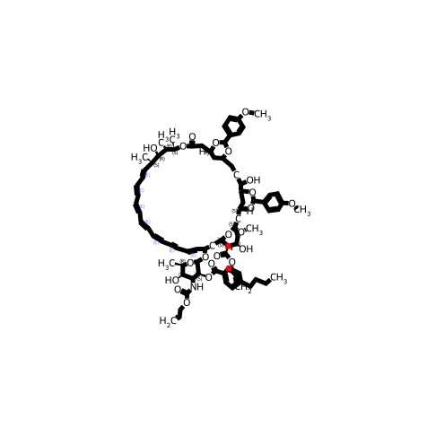 C=CCOC(=O)NC1[C@H](OC(=O)c2ccc(CCCC)cc2)C(OC2/C=C/C=C/C=C/C=C/C=C/C=C/C=C/[C@H](C)[C@@H](O)[C@@H](C)[C@H](C)OC(=O)C[C@H]3CC(CCC(O)C4C[C@@H](C[C@]5(OC)C[C@H](O)[C@@H](C(=O)OCC=C)[C@H](C2)O5)OC(c2ccc(OC)cc2)O4)OC(c2ccc(OC)cc2)O3)O[C@H](C)[C@H]1O